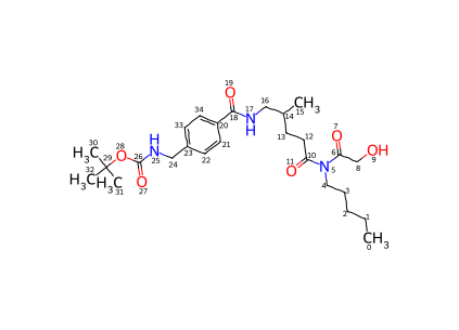 CCCCCN(C(=O)CO)C(=O)CCC(C)CNC(=O)c1ccc(CNC(=O)OC(C)(C)C)cc1